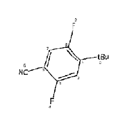 CC(C)(C)c1cc(F)c(C#N)cc1F